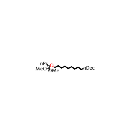 CCCCCCCCCCCCCCCCCCCO[Si](CCC)(OC)OC